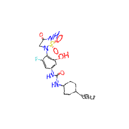 CC(C)(C)C1CCC(NC(=O)Nc2cc(O)c(N3CC(=O)NS3(=O)=O)c(F)c2)CC1